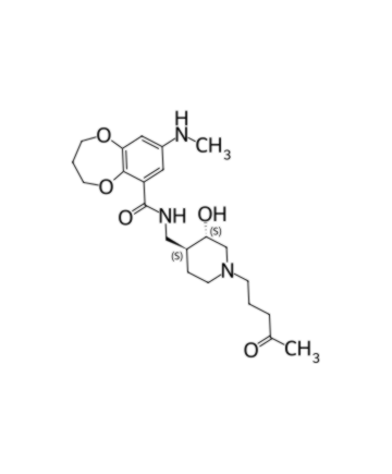 CNc1cc2c(c(C(=O)NC[C@@H]3CCN(CCCC(C)=O)C[C@H]3O)c1)OCCCO2